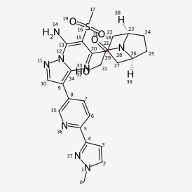 Cn1ccc(-c2ccc(-c3cnn4c(N)c(S(C)(=O)=O)c(C5C[C@H]6CC[C@@H](C5)N6C(=O)CO)nc34)cn2)n1